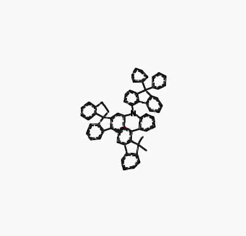 CC1(C)c2ccccc2-c2cccc(-c3ccccc3N(c3ccc4c(c3)C3(CCc5ccccc53)c3ccccc3-4)c3cccc4c3-c3ccccc3C4(c3ccccc3)c3ccccc3)c21